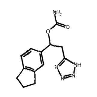 NC(=O)OC(Cc1nnn[nH]1)c1ccc2c(c1)CCC2